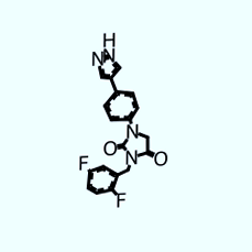 O=C1CN(c2ccc(-c3cn[nH]c3)cc2)C(=O)N1Cc1cc(F)ccc1F